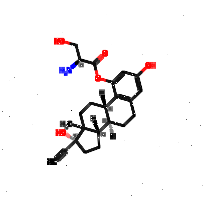 C#C[C@]1(O)CC[C@H]2[C@@H]3CCc4cc(O)cc(OC(=O)[C@@H](N)CO)c4[C@H]3CCC21C